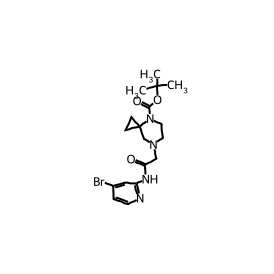 CC(C)(C)OC(=O)N1CCN(CC(=O)Nc2cc(Br)ccn2)CC12CC2